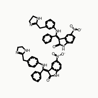 O=C1Nc2ccc([N+](=O)[O-])cc2C1=C(Nc1ccc(CC2=NCCN2)cc1)c1ccccc1.O=C1Nc2ccc([N+](=O)[O-])cc2C1=C(Nc1cccc(CC2=NCCN2)c1)c1ccccc1